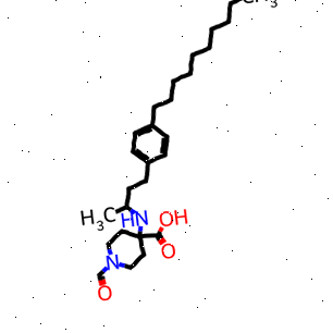 CCCCCCCCCCc1ccc(CCC(C)NC2(C(=O)O)CCN(C=O)CC2)cc1